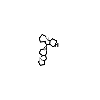 C1CCN2C3CCNCC3C(N3CCC4C(CC5CCCN54)C3)C2C1